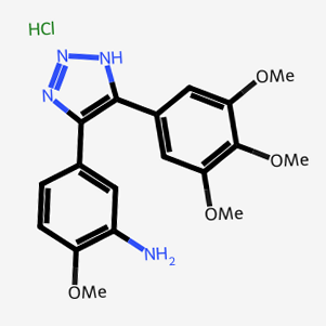 COc1ccc(-c2nn[nH]c2-c2cc(OC)c(OC)c(OC)c2)cc1N.Cl